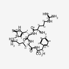 Cn1cc(C[C@H](NC(=O)[C@H](N)CCCNC(=N)N)C(=O)N[C@@H](CCCCN)C(=O)N[C@@H](Cc2ccccc2)C(=O)O)[nH]c1=S